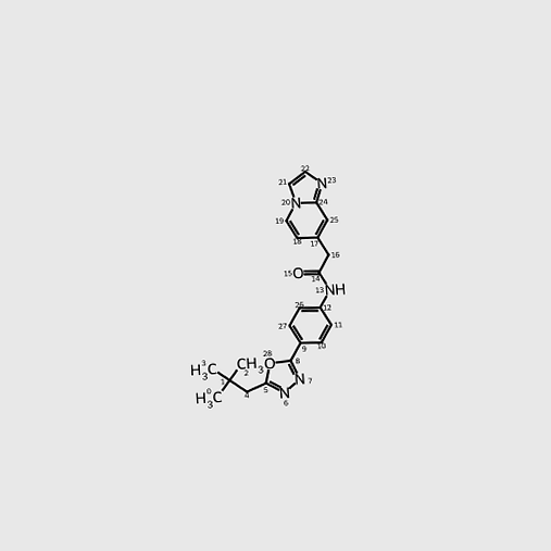 CC(C)(C)Cc1nnc(-c2ccc(NC(=O)Cc3ccn4ccnc4c3)cc2)o1